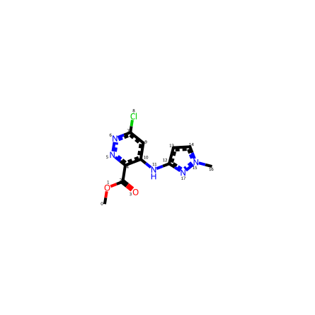 COC(=O)c1nnc(Cl)cc1Nc1ccn(C)n1